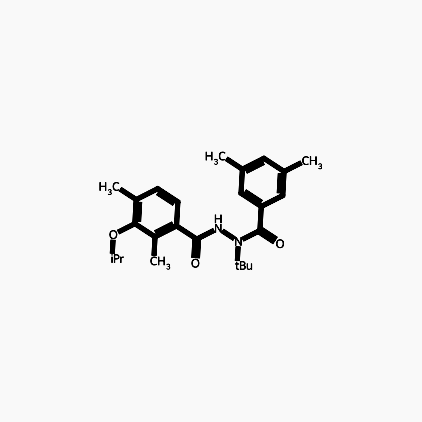 Cc1cc(C)cc(C(=O)N(NC(=O)c2ccc(C)c(OC(C)C)c2C)C(C)(C)C)c1